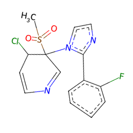 CS(=O)(=O)C1(n2ccnc2-c2ccccc2F)C=NC=CC1Cl